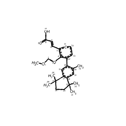 COCOc1c(C=CC(=O)O)cccc1-c1cc2c(cc1C)C(C)(C)CCC2(C)C